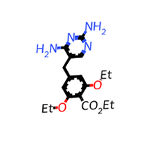 CCOC(=O)c1c(OCC)cc(Cc2cnc(N)nc2N)cc1OCC